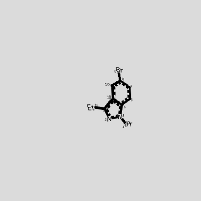 CCc1nn(C(C)C)c2ccc(Br)cc12